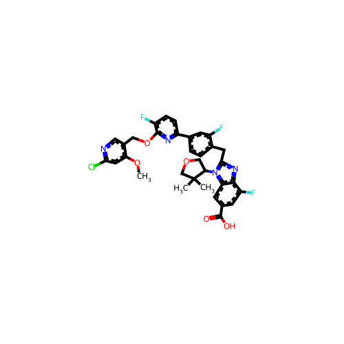 COc1cc(Cl)ncc1COc1nc(-c2ccc(Cc3nc4c(F)cc(C(=O)O)cc4n3C3COCC3(C)C)c(F)c2)ccc1F